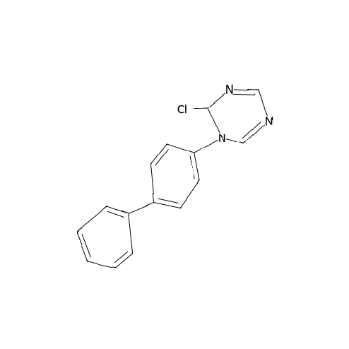 ClC1N=CN=CN1c1ccc(-c2ccccc2)cc1